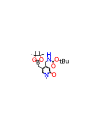 Cn1cc(CB2OC(C)(C)C(C)(C)O2)c(CNC(=O)OC(C)(C)C)cc1=O